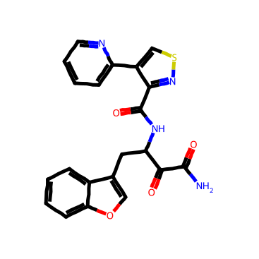 NC(=O)C(=O)C(Cc1coc2ccccc12)NC(=O)c1nscc1-c1ccccn1